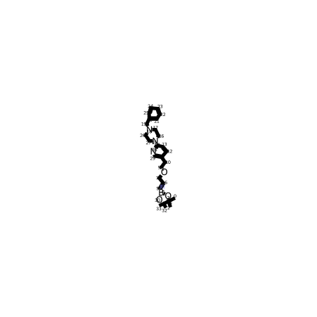 CC1(C)OB(/C=C/COCCc2ccc(N3CCN(Cc4ccccc4)CC3)nc2)OC1(C)C